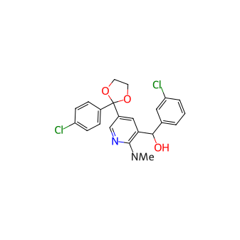 CNc1ncc(C2(c3ccc(Cl)cc3)OCCO2)cc1C(O)c1cccc(Cl)c1